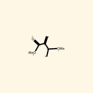 C=C(C(=O)OC)C(C)OC